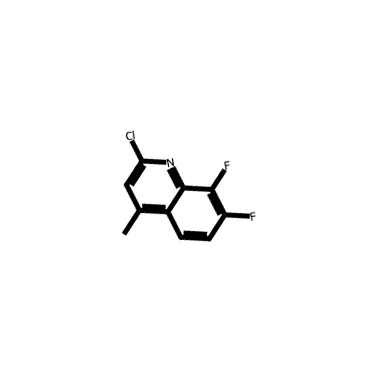 Cc1cc(Cl)nc2c(F)c(F)ccc12